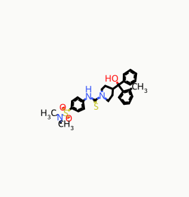 Cc1ccccc1C(O)(c1ccccc1)C1CCN(C(=S)Nc2ccc(S(=O)(=O)N(C)C)cc2)CC1